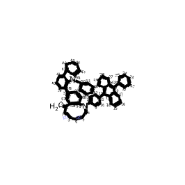 C=C1/C=C\C=C/CN(c2ccc(-c3c4ccccc4c(-c4ccccc4)c4ccccc34)cc2)c2ccc(-c3cccc4c5ccccc5n(-c5ccccc5)c34)cc21